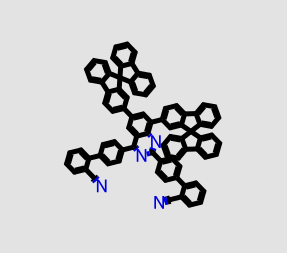 N#Cc1ccccc1-c1ccc(-c2nc(-c3ccc(-c4ccccc4C#N)cc3)c3cc(-c4ccc5c(c4)C4(c6ccccc6-c6ccccc64)c4ccccc4-5)cc(-c4ccc5c(c4)C4(c6ccccc6-c6ccccc64)c4ccccc4-5)c3n2)cc1